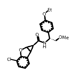 CCOc1ccc([C@H](COC)NC(=O)C2C3Oc4c(Cl)cccc4C32)cc1